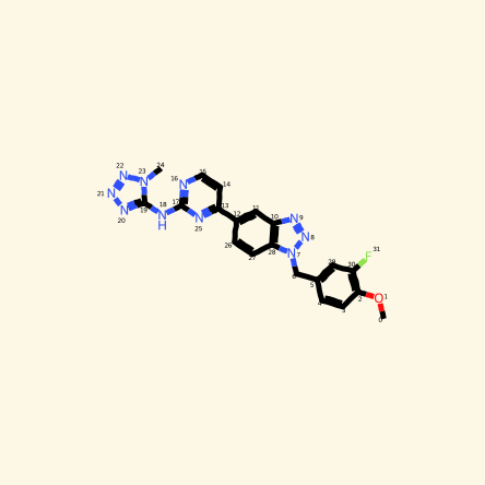 COc1ccc(Cn2nnc3cc(-c4ccnc(Nc5nnnn5C)n4)ccc32)cc1F